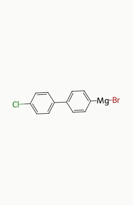 Clc1ccc(-c2cc[c]([Mg][Br])cc2)cc1